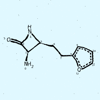 N[C@H]1C(=O)N[C@H]1CCc1ccco1